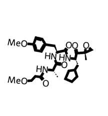 COCCC(=O)N[C@@H](C)C(=O)N[C@@H](Cc1ccc(OC)cc1)C(=O)N[C@@H](CC1CCCC1)C(=O)[C@@]1(C)CO1